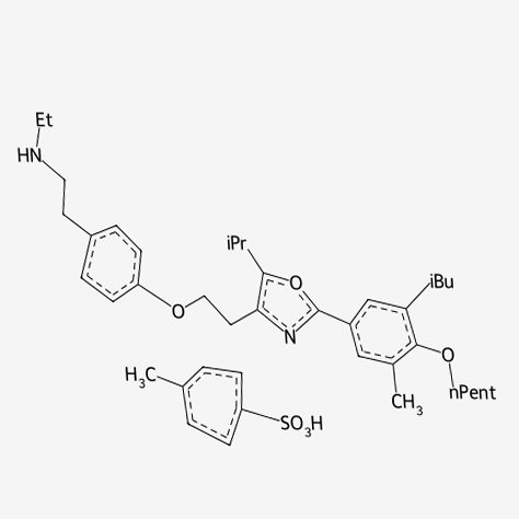 CCCCCOc1c(C)cc(-c2nc(CCOc3ccc(CCNCC)cc3)c(C(C)C)o2)cc1C(C)CC.Cc1ccc(S(=O)(=O)O)cc1